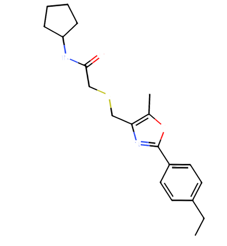 CCc1ccc(-c2nc(CSCC(=O)NC3CCCC3)c(C)o2)cc1